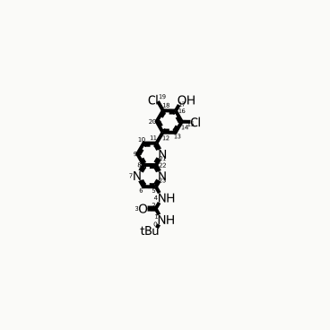 CC(C)(C)NC(=O)Nc1cnc2ccc(-c3cc(Cl)c(O)c(Cl)c3)nc2n1